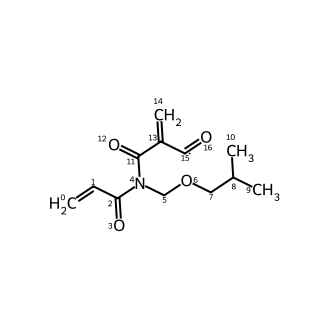 C=CC(=O)N(COCC(C)C)C(=O)C(=C)[C]=O